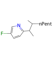 CCCCCC(C)C(C)c1ccc(F)cn1